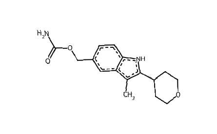 Cc1c(C2CCOCC2)[nH]c2ccc(COC(N)=O)cc12